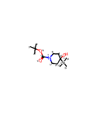 CC(C)(C)OC(=O)N1CCC(O)([Si](C)(C)C)CC1